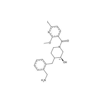 COc1nc(I)ccc1C(=O)N1CCC(Cc2ccccc2CN)[C@H](O)C1